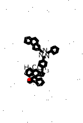 CC1(C)c2ccccc2C2(c3ccccc3-c3ccccc32)c2cccc(-c3ccc(-c4nc(-c5ccccc5)nc(-c5ccc6c(ccc7ccccc76)c5)n4)cc3)c21